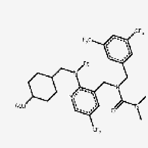 CCN(CC1CCC(OC(C)=O)CC1)c1ncc(C(F)(F)F)cc1CN(Cc1cc(C(F)(F)F)cc(C(F)(F)F)c1)C(=O)N(C)C